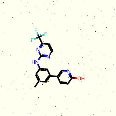 Cc1cc(Nc2nccc(C(F)(F)F)n2)cc(-c2ccc(O)nc2)c1